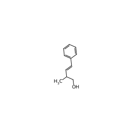 CC(C=Cc1ccccc1)CO